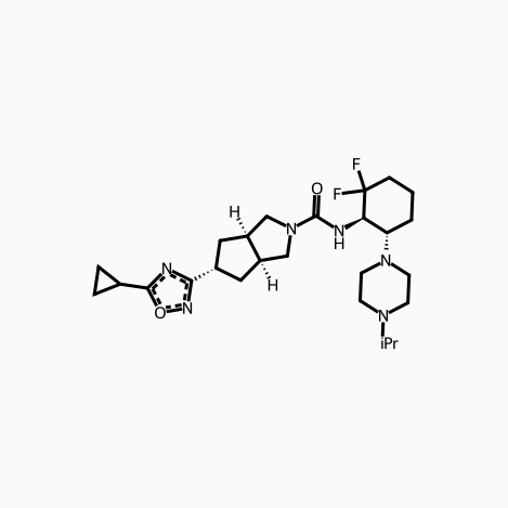 CC(C)N1CCN([C@H]2CCCC(F)(F)[C@@H]2NC(=O)N2C[C@H]3C[C@H](c4noc(C5CC5)n4)C[C@H]3C2)CC1